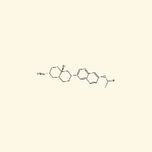 CCCCCC[C@@H]1CC[C@@H]2CC(c3ccc4cc(OC(F)F)ccc4c3)CCC2C1